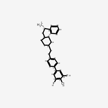 C[C@@H](CC1CCC(CCc2ccc(-c3cc(F)c(Cl)c(F)c3)cc2)CC1)c1ccccc1